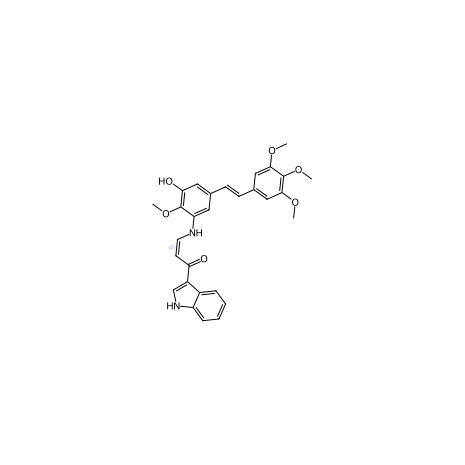 COc1cc(C=Cc2cc(O)c(OC)c(N/C=C\C(=O)c3c[nH]c4ccccc34)c2)cc(OC)c1OC